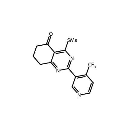 CSc1nc(-c2cnccc2C(F)(F)F)nc2c1C(=O)CCC2